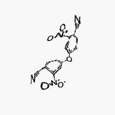 N#Cc1ccc(Oc2ccc(C#N)c([N+](=O)[O-])c2)cc1[N+](=O)[O-]